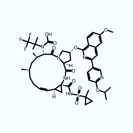 COc1ccc2c(O[C@@H]3C[C@H]4C(=O)N[C@]5(C(=O)NS(=O)(=O)C6(C)CC6)C[C@H]5/C=C\CC[C@@H](C)C[C@@H](C)[C@H](N(C(=O)O)C(C)(C)C(F)(F)F)C(=O)N4C3)nc(-c3ccc(OC(C)C)nc3)cc2c1